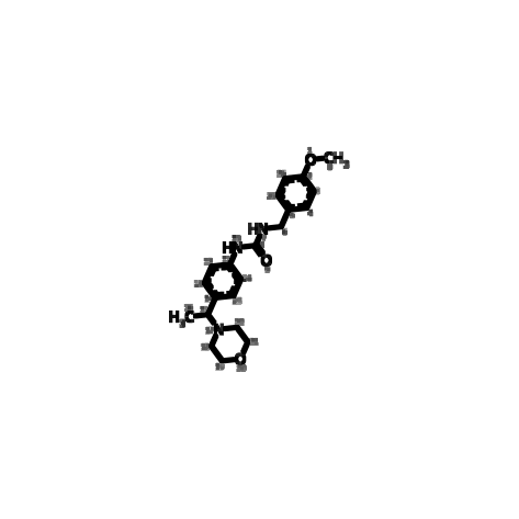 COc1ccc(CNC(=O)Nc2ccc(C(C)N3CCOCC3)cc2)cc1